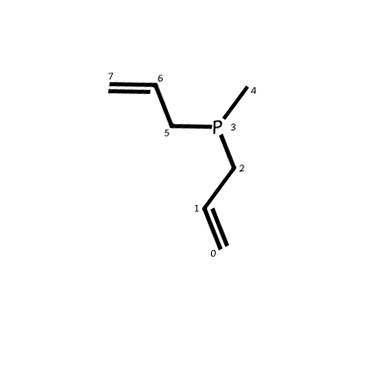 C=CCP(C)CC=C